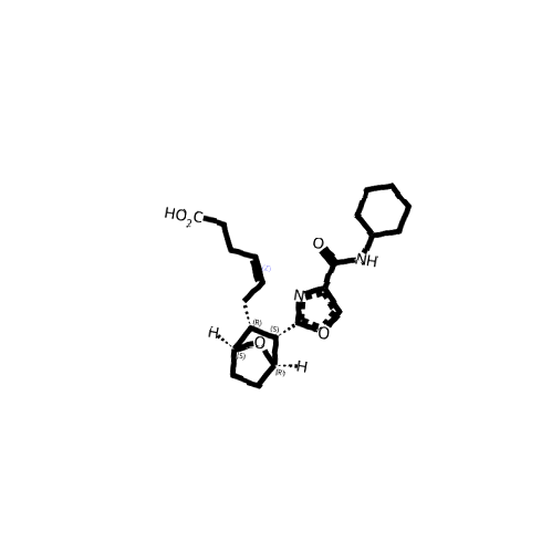 O=C(O)CC/C=C\C[C@@H]1[C@H](c2nc(C(=O)NC3CCCCC3)co2)[C@H]2CC[C@@H]1O2